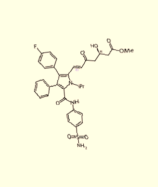 COC(=O)C[C@H](O)CC(=O)/C=C/c1c(-c2ccc(F)cc2)c(-c2ccccc2)c(C(=O)Nc2ccc(S(N)(=O)=O)cc2)n1C(C)C